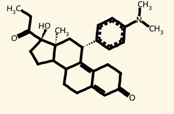 CCC(=O)[C@@]1(O)CCC2C3CCC4=CC(=O)CCC4=C3[C@@H](c3ccc(N(C)C)cc3)C[C@@]21C